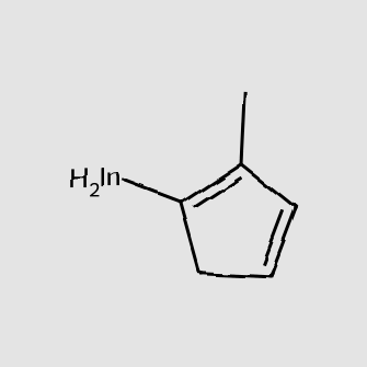 CC1=[C]([InH2])CC=C1